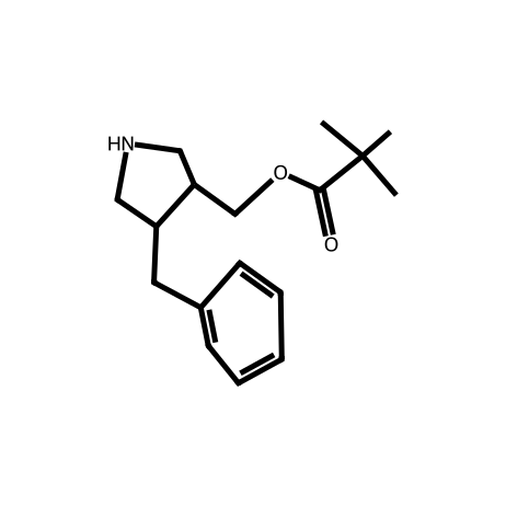 CC(C)(C)C(=O)OCC1CNCC1Cc1ccccc1